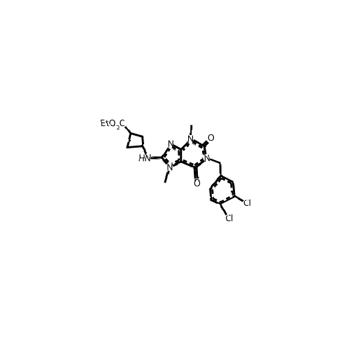 CCOC(=O)C1CC(Nc2nc3c(c(=O)n(Cc4ccc(Cl)c(Cl)c4)c(=O)n3C)n2C)C1